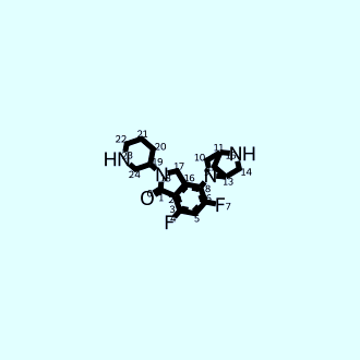 O=C1c2c(F)cc(F)c(N3CC4CC3CN4)c2CN1C1CCCNC1